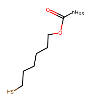 CCCCCCC(=O)OCCCCCCS